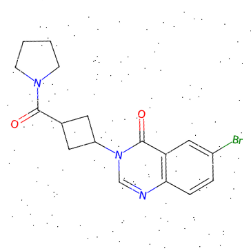 O=C(C1CC(n2cnc3ccc(Br)cc3c2=O)C1)N1CCCC1